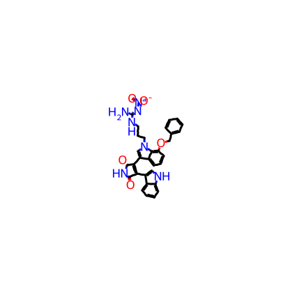 NC(=N[N+](=O)[O-])NCCCn1cc(C2=C(c3c[nH]c4ccccc34)C(=O)NC2=O)c2cccc(OCc3ccccc3)c21